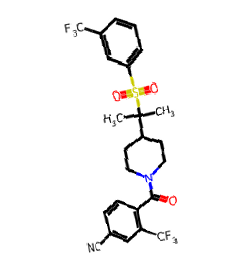 CC(C)(C1CCN(C(=O)c2ccc(C#N)cc2C(F)(F)F)CC1)S(=O)(=O)c1cccc(C(F)(F)F)c1